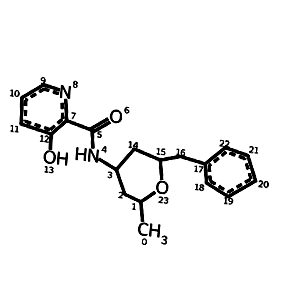 CC1CC(NC(=O)c2ncccc2O)CC(Cc2ccccc2)O1